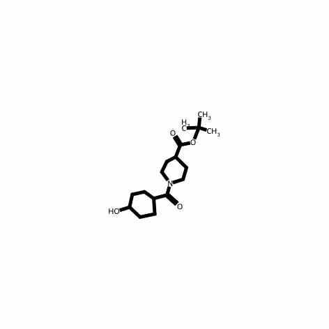 CC(C)(C)OC(=O)C1CCN(C(=O)C2CCC(O)CC2)CC1